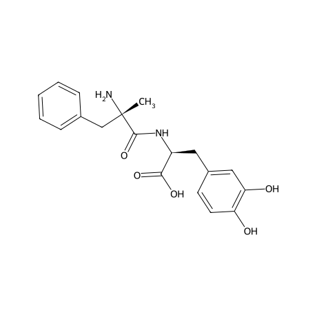 C[C@](N)(Cc1ccccc1)C(=O)N[C@@H](Cc1ccc(O)c(O)c1)C(=O)O